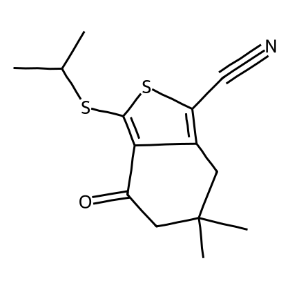 CC(C)Sc1sc(C#N)c2c1C(=O)CC(C)(C)C2